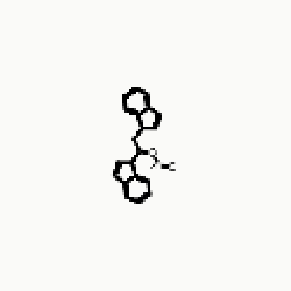 [Cl][Zr][O]C(CC1C=Cc2ccccc21)C1C=Cc2ccccc21